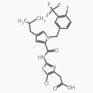 CC(C)Cc1cc(C(=O)Nc2nc(CC(=O)O)c(Cl)s2)n(Cc2ccc(F)c(C(F)(F)F)c2)c1